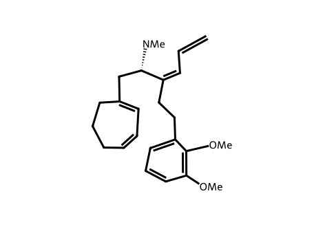 C=C/C=C(/CCc1cccc(OC)c1OC)[C@H](CC1=CC=CCCC1)NC